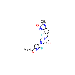 CNC(=O)c1ccc(N2CCN(Cc3ccc4nc(C)c(=O)[nH]c4c3F)C3(COC3)C2)c(F)n1